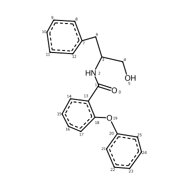 O=C(NC(CO)Cc1ccccc1)c1ccccc1Oc1ccccc1